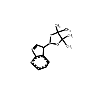 CC1(C)OB(C2C=Nc3ncccc32)OC1(C)C